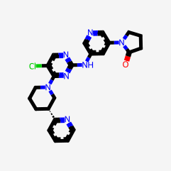 O=C1CCCN1c1cncc(Nc2ncc(Cl)c(N3CCC[C@@H](c4ccccn4)C3)n2)c1